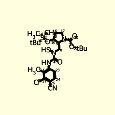 Cc1c(NC(=O)N(S)CC2C(O[Si](C)(C)C(C)(C)C)CCN2C(=O)OC(C)(C)C)ccc(C#N)c1Cl